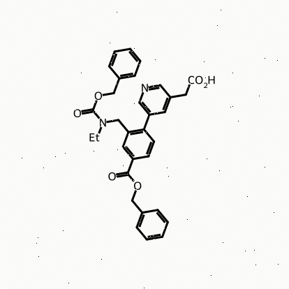 CCN(Cc1cc(C(=O)OCc2ccccc2)ccc1-c1cncc(CC(=O)O)c1)C(=O)OCc1ccccc1